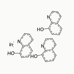 Oc1cccc2cccnc12.Oc1cccc2cccnc12.Oc1cccc2cccnc12.[In]